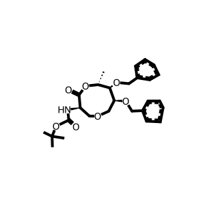 C[C@H]1OC(=O)[C@H](NC(=O)OC(C)(C)C)COC[C@H](OCc2ccccc2)[C@H]1OCc1ccccc1